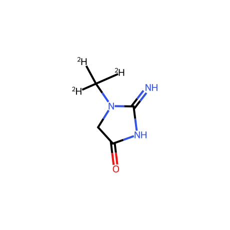 [2H]C([2H])([2H])N1CC(=O)NC1=N